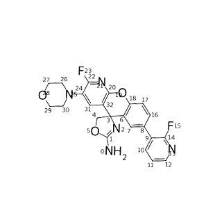 NC1=NC2(CO1)c1cc(-c3cccnc3F)ccc1Oc1nc(F)c(N3CCOCC3)cc12